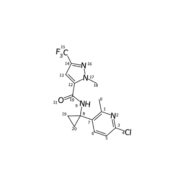 Cc1nc(Cl)ccc1C1(NC(=O)c2cc(C(F)(F)F)nn2C)CC1